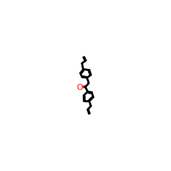 C=CCc1ccc(CC(=O)c2ccc(CC=C)cc2)cc1